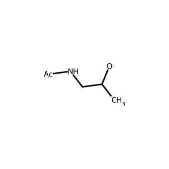 CC(=O)NCC(C)[O]